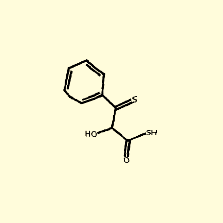 O=C(S)C(O)C(=S)c1ccccc1